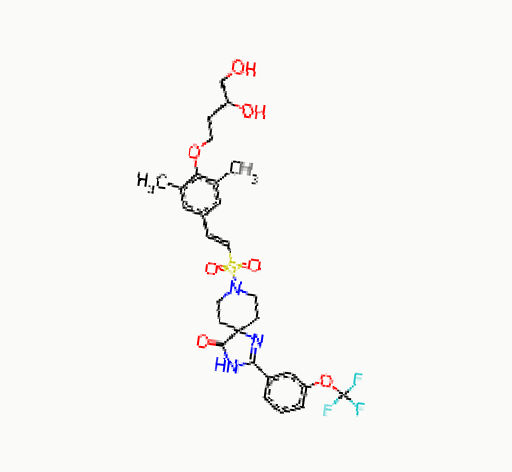 Cc1cc(/C=C/S(=O)(=O)N2CCC3(CC2)N=C(c2cccc(OC(F)(F)F)c2)NC3=O)cc(C)c1OCCC(O)CO